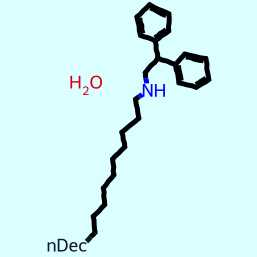 CCCCCCCCCCCCCCCCCCCCNCC(c1ccccc1)c1ccccc1.O